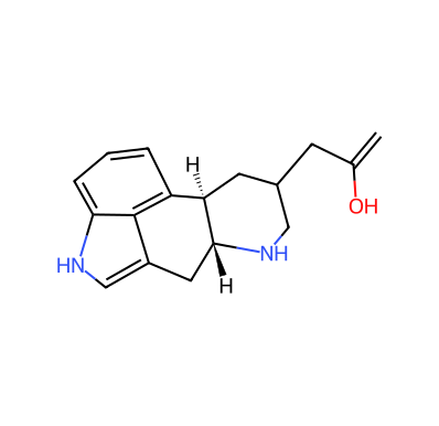 C=C(O)CC1CN[C@@H]2Cc3c[nH]c4cccc(c34)[C@H]2C1